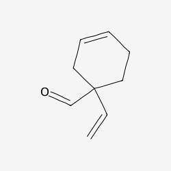 C=CC1(C=O)CC=CCC1